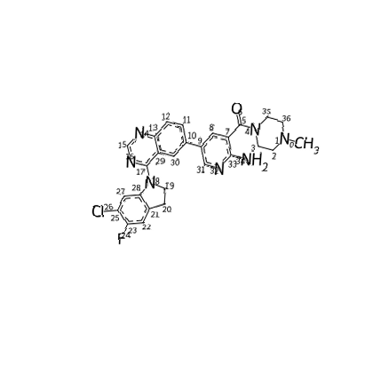 CN1CCN(C(=O)c2cc(-c3ccc4ncnc(N5CCc6cc(F)c(Cl)cc65)c4c3)cnc2N)CC1